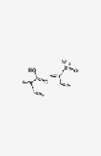 C=CC(=C)C(=O)O.C=CC(=C)C(N)=O